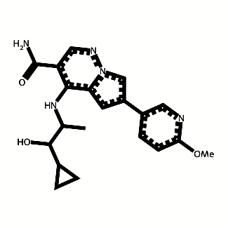 COc1ccc(-c2cc3c(NC(C)C(O)C4CC4)c(C(N)=O)cnn3c2)cn1